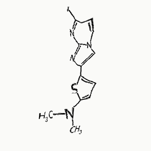 CN(C)c1ccc(-c2cn3ccc(I)nc3n2)s1